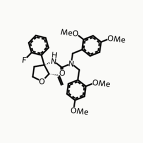 C=C[C@@H]1OCC[C@@]1(NC(=O)N(Cc1ccc(OC)cc1OC)Cc1ccc(OC)cc1OC)c1ccccc1F